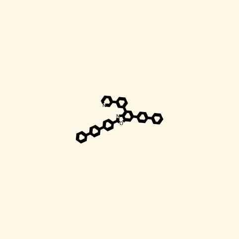 c1ccc(-c2ccc(-c3ccc(-c4nc5c(-c6cccc(-c7cccnc7)c6)cc(-c6ccc(-c7ccccc7)cc6)cc5o4)cc3)cc2)cc1